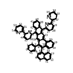 c1ccc(-c2c(-c3cccc4ccccc34)c3ccccc3c3cc4c(-c5cccc(-c6ccccn6)n5)c5ccccc5c(-c5cccc(-c6ccccn6)n5)c4cc23)cc1